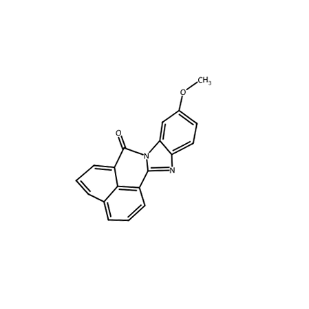 COc1ccc2nc3c4cccc5cccc(c(=O)n3c2c1)c54